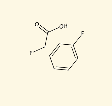 Fc1ccccc1.O=C(O)CF